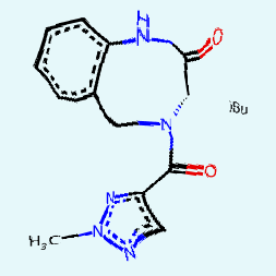 CC[C@H](C)[C@H]1C(=O)Nc2ccccc2CN1C(=O)c1cnn(C)n1